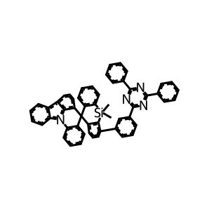 C[Si]1(C)c2ccccc2C2(c3ccccc3-n3c4ccccc4c4cccc2c43)c2cccc(-c3cccc(-c4nc(-c5ccccc5)nc(-c5ccccc5)n4)c3)c21